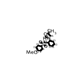 COc1ccc(S(=O)(=O)Nc2ccccc2N2C=C(C)OC2)cc1